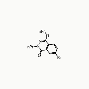 CCCOc1nn(CCC)c(=O)c2cc(Br)ccc12